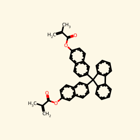 C=C(C)C(=O)Oc1ccc2cc(C3(c4ccc5cc(OC(=O)C(=C)C)ccc5c4)c4ccccc4-c4ccccc43)ccc2c1